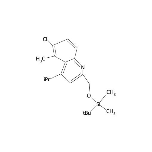 Cc1c(Cl)ccc2nc(CO[Si](C)(C)C(C)(C)C)cc(C(C)C)c12